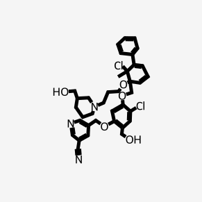 CC1(Cl)C(c2ccccc2)=CC=CC1(COc1cc(OCc2cncc(C#N)c2)c(CO)cc1Cl)OCCCN1CCCC(CO)C1